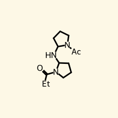 CCC(=O)N1CCCC1NC1CCCN1C(C)=O